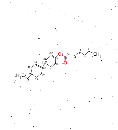 CCCCCCC(=O)Oc1ccc(C2=CCC(CC)CC2)cc1